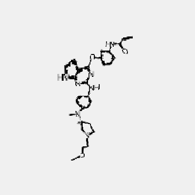 C=CC(=O)Nc1cccc(Oc2nc(Nc3ccc(N(C)[C@@H]4CCN(CCOC)C4)cc3)nc3[nH]ccc23)c1